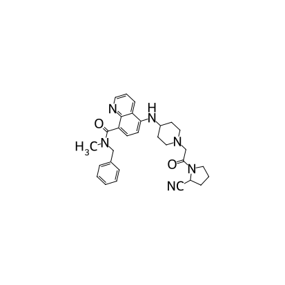 CN(Cc1ccccc1)C(=O)c1ccc(NC2CCN(CC(=O)N3CCCC3C#N)CC2)c2cccnc12